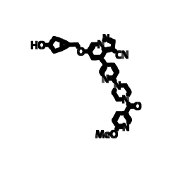 COc1ccc(C(=O)N2CCN(c3ccc(-c4cc(OCC5C6CC(O)CC56)cn5ncc(C#N)c45)cn3)CC2)cn1